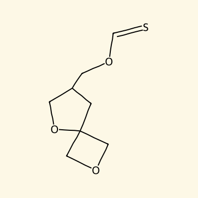 S=COCC1COC2(COC2)C1